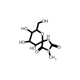 CN1C(=O)NC2(OC(CO)C(O)C(O)C2O)C1=O